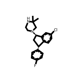 CC1(C)CN([C@@H]2C[C@@H](c3ccc(F)cc3)c3ccc(Cl)cc32)CCN1